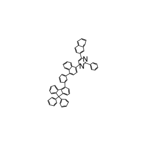 c1ccc(-c2nc(-c3ccc4ccccc4c3)cc(-c3ccc(-c4cccc(-c5cccc6c5-c5ccccc5C6(c5ccccc5)c5ccccc5)c4)c4ccccc34)n2)cc1